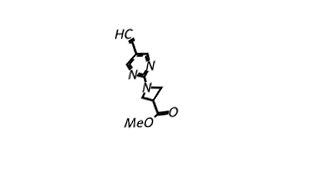 C#Cc1cnc(N2CC(C(=O)OC)C2)nc1